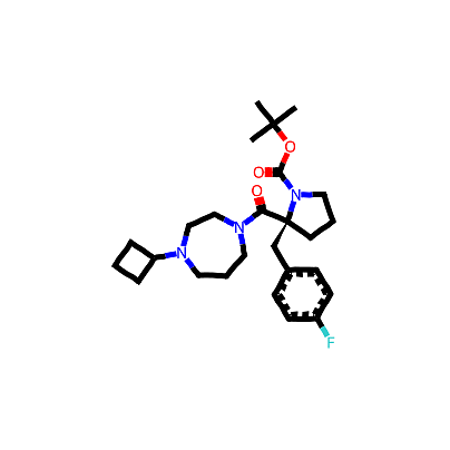 CC(C)(C)OC(=O)N1CCC[C@]1(Cc1ccc(F)cc1)C(=O)N1CCCN(C2CCC2)CC1